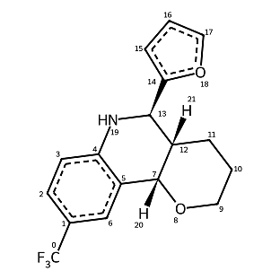 FC(F)(F)c1ccc2c(c1)[C@H]1OCCC[C@H]1[C@H](c1ccco1)N2